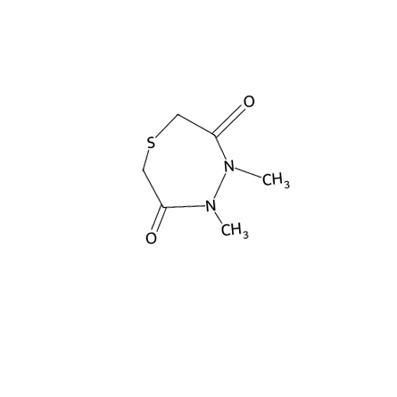 CN1C(=O)CSCC(=O)N1C